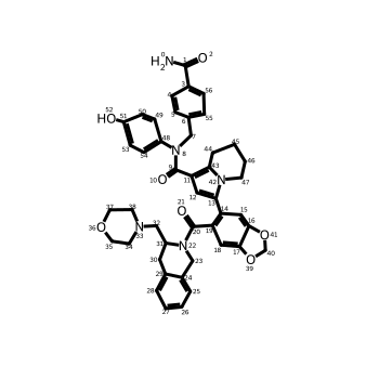 NC(=O)c1ccc(CN(C(=O)c2cc(-c3cc4c(cc3C(=O)N3Cc5ccccc5CC3CN3CCOCC3)OCO4)n3c2CCCC3)c2ccc(O)cc2)cc1